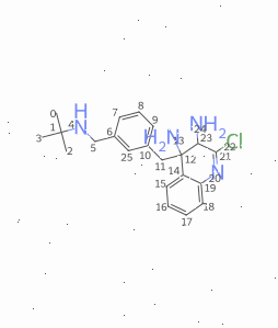 CC(C)(C)NCc1cccc(CC2(N)c3ccccc3N=C(Cl)C2N)c1